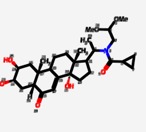 COC(CN(C(=O)C1CC1)C(C)C1CC[C@@]2(O)C3=CC(=O)[C@@H]4C[C@@H](O)[C@@H](O)C[C@]4(C)C3CC[C@]12C)OC